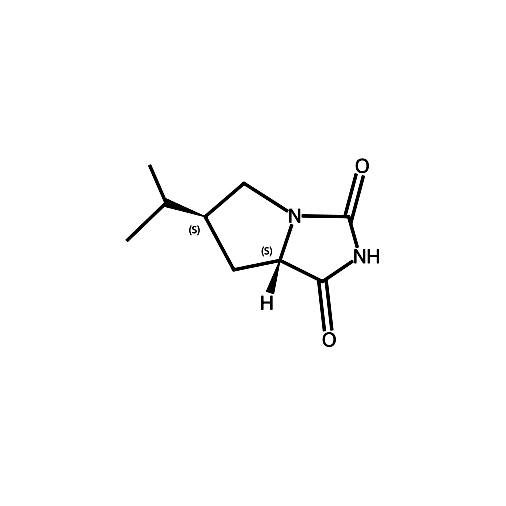 CC(C)[C@@H]1C[C@H]2C(=O)NC(=O)N2C1